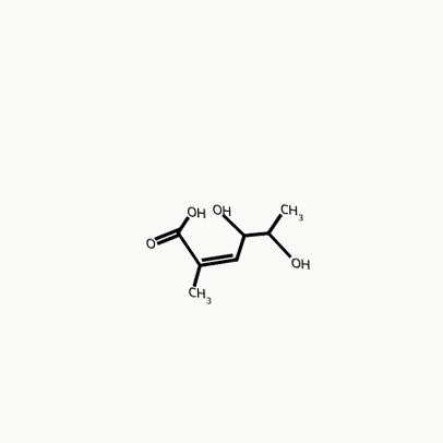 CC(=CC(O)C(C)O)C(=O)O